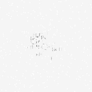 CN(CCF)C(=O)c1ccc(Nc2nc(Cl)ncc2Cl)c(OP(C)C)c1.P